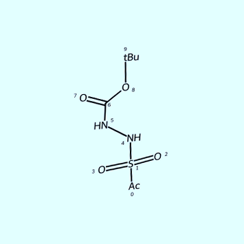 CC(=O)S(=O)(=O)NNC(=O)OC(C)(C)C